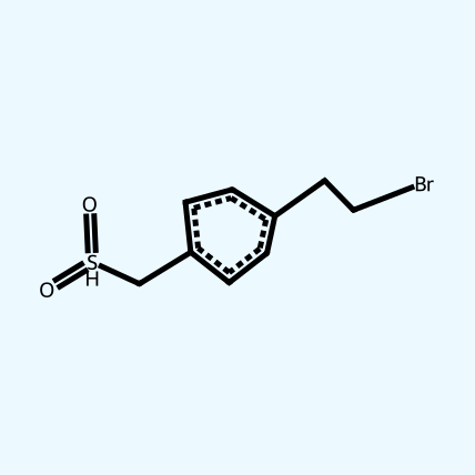 O=[SH](=O)Cc1ccc(CCBr)cc1